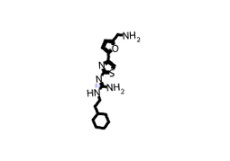 NCc1ccc(-c2csc(/N=C(\N)NCCC3CCCCC3)n2)o1